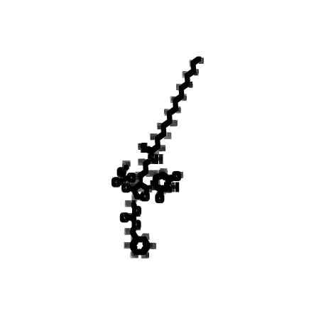 CCCCCCCCCCCCCCCC(=S)NCCC[C@H]1C(OP(=O)(O)OC)[C@@H](COC(=O)OCc2ccccc2)O[C@H]1n1ccc(=O)[nH]c1=O